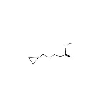 CCOC(=O)CCSCC1CC1